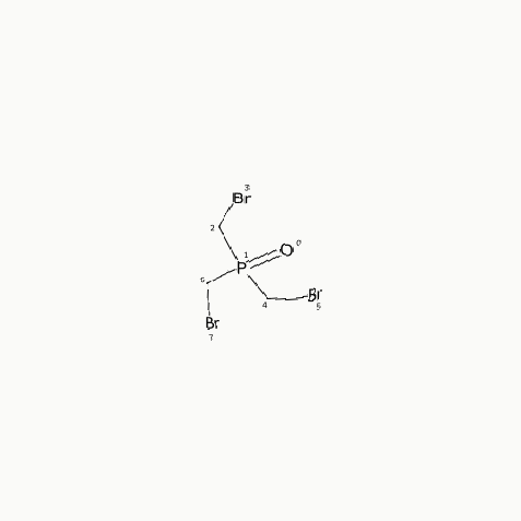 O=P(CBr)(CBr)CBr